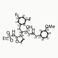 CCS(=O)(=O)NC1OC=CN1[C@@H](Cc1cc(F)cc(F)c1)[C@H](O)CNCc1cccc(OC)c1